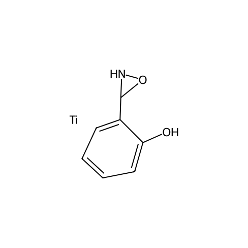 Oc1ccccc1C1NO1.[Ti]